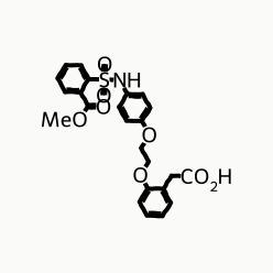 COC(=O)c1ccccc1S(=O)(=O)Nc1ccc(OCCOc2ccccc2CC(=O)O)cc1